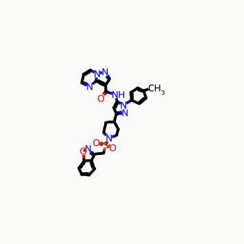 Cc1ccc(-n2nc(C3CCN(S(=O)(=O)Cc4noc5ccccc45)CC3)cc2NC(=O)c2cnn3cccnc23)cc1